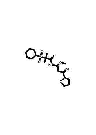 CO/C(=C\C(=N)C1CCCO1)NC(=O)C(C)(C)S(=O)(=O)C1CCCCC1